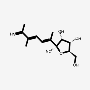 CC(=N)/C(C)=C/C=C(\C)[C@]1(C#N)O[C@H](CO)[C@@H](O)[C@H]1O